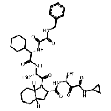 CCC[C@H](NC(=O)[C@@H]1C[C@@H]2CCCC[C@@H]2N1C(=O)[C@@H](NC(=O)[C@@H](NC(=O)C(=O)NCc1ccccc1)C1CCCCC1)C(C)(C)C)C(=O)C(=O)NC1CC1